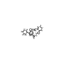 CN(CCOc1ccccc1C=O)c1nc(-c2ccccc2)cs1